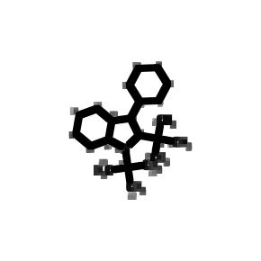 CC(C)(C)C1C(C2CCCCC2)C2CCCCC2N1C(C)(C)C